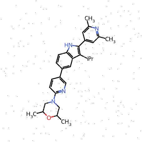 Cc1cc(-c2[nH]c3ccc(-c4ccc(N5CC(C)OC(C)C5)nc4)cc3c2C(C)C)cc(C)n1